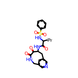 CC(C)C(NS(=O)(=O)c1ccccc1)C(=O)NC1Cc2cncc(c2)CNC(=O)C1=O